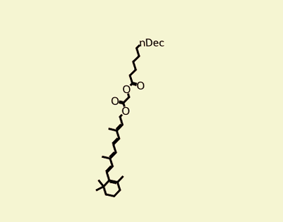 CCCCCCCCCCCCCCCC(=O)OCC(=O)OC/C=C(C)/C=C/C=C(C)/C=C/C1=C(C)CCCC1(C)C